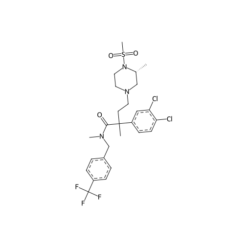 C[C@@H]1CN(CCC(C)(C(=O)N(C)Cc2ccc(C(F)(F)F)cc2)c2ccc(Cl)c(Cl)c2)CCN1S(C)(=O)=O